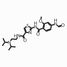 COc1cc(NC=O)ccc1C(=O)Nc1nc(C(=O)NCCN(C(C)C)C(C)C)cs1